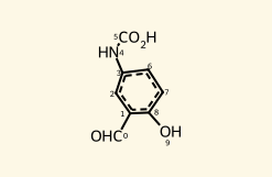 O=Cc1cc(NC(=O)O)ccc1O